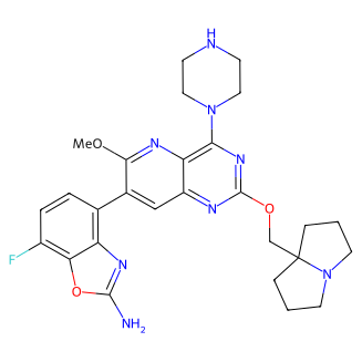 COc1nc2c(N3CCNCC3)nc(OCC34CCCN3CCC4)nc2cc1-c1ccc(F)c2oc(N)nc12